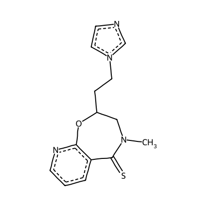 CN1CC(CCn2ccnc2)Oc2ncccc2C1=S